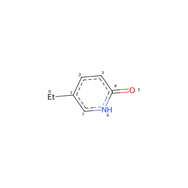 CCc1ccc(=O)[nH]c1